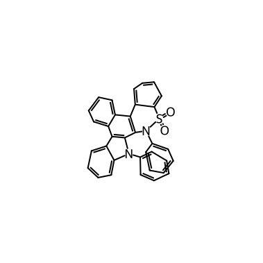 O=S1(=O)c2ccccc2-c2c(c3c(c4ccccc24)c2ccccc2n3-c2ccccc2)N1c1ccccc1